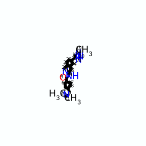 CN(C)Cc1ccc(C(=O)Nc2cc3cc(-c4cn(C)nn4)ccc3cn2)cc1